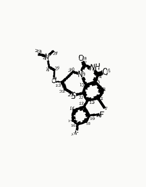 Cc1cc2c(=O)[nH]c(=O)n3c2c(c1-c1ccc(F)cc1F)SC[C@@H](OCCN(C)C)C3